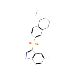 NC[C@@H]1CCCc2cc(S(=O)(=O)c3c[nH]c4ccc(F)cc34)ccc21